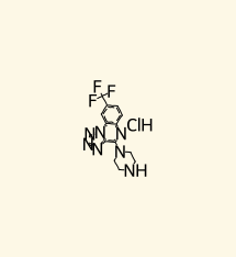 Cl.FC(F)(F)c1ccc2nc(N3CCNCC3)c3nnnn3c2c1